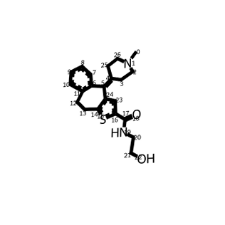 CN1CCC(=C2c3ccccc3CCc3sc(C(=O)NCCO)cc32)CC1